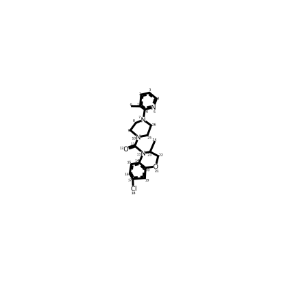 Cc1cccnc1N1CCN(C(=O)N2c3ccc(Cl)cc3OCC2C)CC1